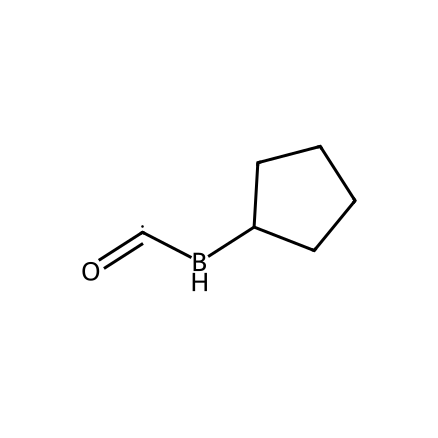 O=[C]BC1CCCC1